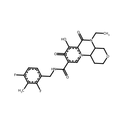 CCN1C(=O)c2c(O)c(=O)c(C(=O)NCc3ccc(F)c(C)c3F)cn2C2CCOCC21